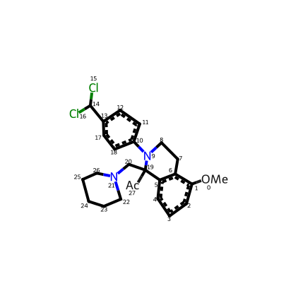 COc1cccc2c1CCN(c1ccc(C(Cl)Cl)cc1)C2(CN1CCCCC1)C(C)=O